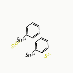 [S-2].[S-2].[S-2].[Sn+3][c]1ccccc1.[Sn+3][c]1ccccc1